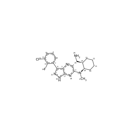 CN(c1cnc2c(-c3cccc(Cl)c3F)n[nH]c2n1)[C@@H]1CCCC[C@@H]1CN